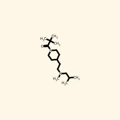 CC(C)CN(C)CCC1CCN(C(=O)C(C)(C)C)CC1